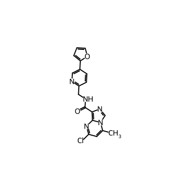 Cc1cc(Cl)nc2c(C(=O)NCc3ccc(-c4ccco4)cn3)ncn12